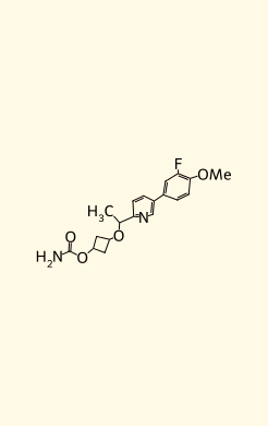 COc1ccc(-c2ccc(C(C)OC3CC(OC(N)=O)C3)nc2)cc1F